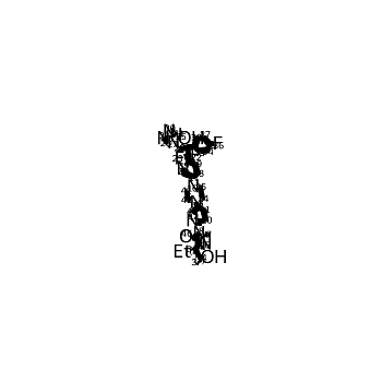 CC[C@@H]([C@H](C)O)n1ncn(-c2ccc(N3CCN(c4ccc(C(F)(F)C(O)(Cn5cnnn5)c5ccc(F)cc5)nc4)CC3)cn2)c1=O